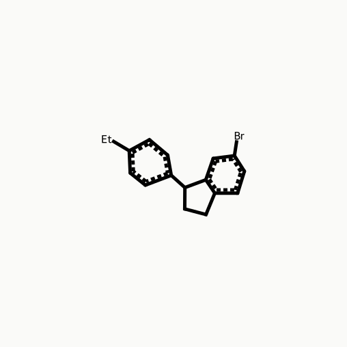 CCc1ccc(C2CCc3ccc(Br)cc32)cc1